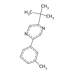 Cc1cccc(-c2cnc(C(C)(C)C)cn2)c1